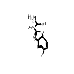 N=C(N)Nc1nc2cc(F)ccc2o1